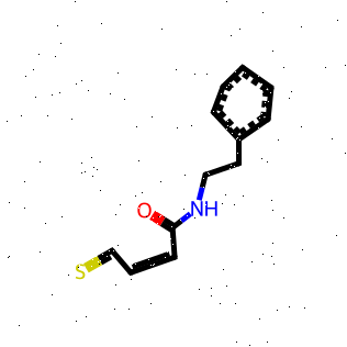 O=C(/C=C\C=S)NCCc1ccccc1